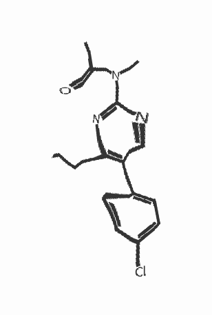 CCc1nc(N(C)C(C)=O)ncc1-c1ccc(Cl)cc1